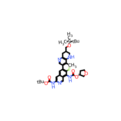 Cc1c(-c2cc3cc(NC(=O)OC(C)(C)C)ncc3c(NC(=O)O[C@@H]3CCOC3)c2F)cnc2c1NCC(CO[Si](C)(C)C(C)(C)C)C2